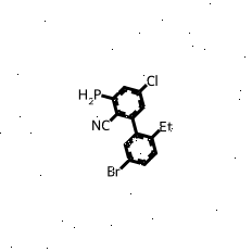 CCc1ccc(Br)cc1-c1cc(Cl)cc(P)c1C#N